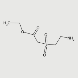 CCOC(=O)CS(=O)(=O)CCN